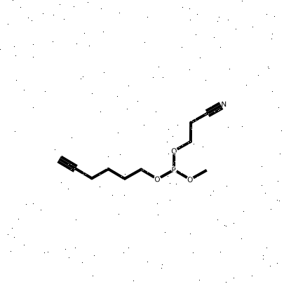 C#CCCCCOP(OC)OCCC#N